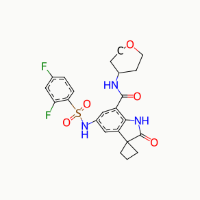 O=C(NC1CCOCC1)c1cc(NS(=O)(=O)c2ccc(F)cc2F)cc2c1NC(=O)C21CCC1